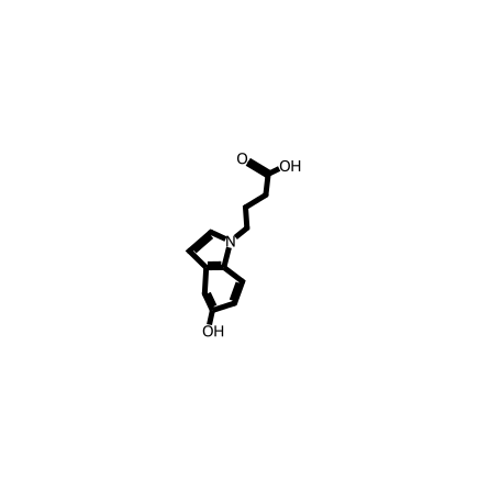 O=C(O)CCCn1ccc2cc(O)ccc21